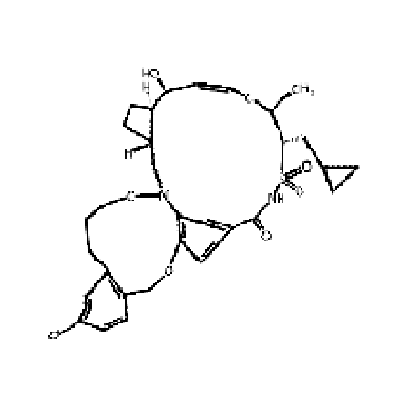 C[C@@H]1C/C=C\[C@H](O)[C@@H]2CC[C@H]2CN2CCCCc3cc(Cl)ccc3COc3ccc(cc32)C(=O)NS(=O)(=O)[C@H]1CC1CC1